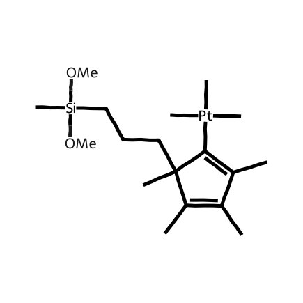 CO[Si](C)(CCCC1(C)C(C)=C(C)C(C)=[C]1[Pt]([CH3])([CH3])[CH3])OC